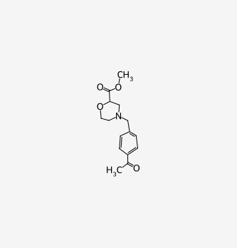 COC(=O)C1CN(Cc2ccc(C(C)=O)cc2)CCO1